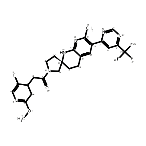 COC1=NC=C(F)C(CC(=O)N2CC[C@@]3(CCc4cc(-c5cc(C(F)(F)F)ncn5)c(C)nc4N3)C2)C1